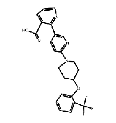 O=C(O)c1cccnc1-c1ccc(N2CCC(Oc3ccccc3C(F)(F)F)CC2)nc1